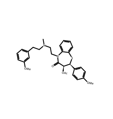 COc1ccc([C@@H]2Sc3ccccc3N(CCN(C)CCc3cccc(OC)c3)C(=O)[C@@H]2OC(C)=O)cc1